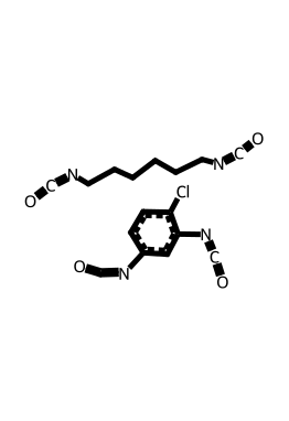 O=C=NCCCCCCN=C=O.O=C=Nc1ccc(Cl)c(N=C=O)c1